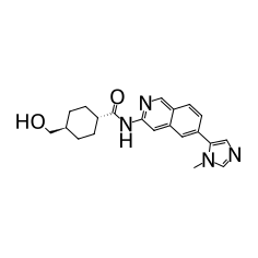 Cn1cncc1-c1ccc2cnc(NC(=O)[C@H]3CC[C@H](CO)CC3)cc2c1